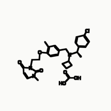 Cc1cc(CN(C2CCC2)[C@H](C)c2ccc(Cl)cc2)ccc1OCCn1c(=O)ccn(C)c1=O.O=C(O)O